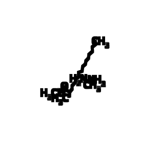 CC(N)N.CCCCCCCCCCCCCCCCC(CC)C(=O)OCC